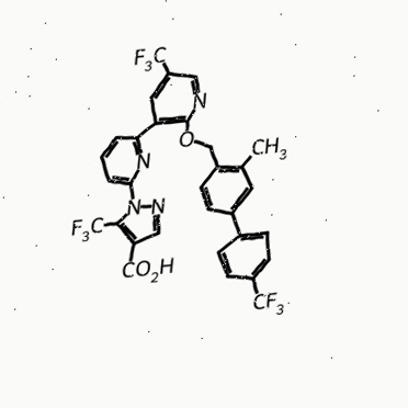 Cc1cc(-c2ccc(C(F)(F)F)cc2)ccc1COc1ncc(C(F)(F)F)cc1-c1cccc(-n2ncc(C(=O)O)c2C(F)(F)F)n1